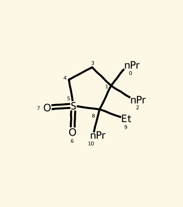 CCCC1(CCC)CCS(=O)(=O)C1(CC)CCC